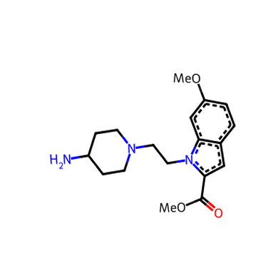 COC(=O)c1cc2ccc(OC)cc2n1CCN1CCC(N)CC1